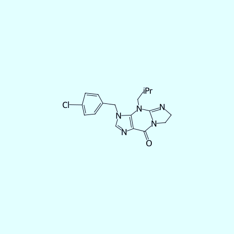 CC(C)CN1C2=NCCN2C(=O)c2ncn(Cc3ccc(Cl)cc3)c21